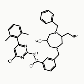 Cc1cccc(C)c1-c1cc(Cl)nc(N[S+]([O-])c2cccc(CN3CC(O)CN(Cc4ccccc4)C(CC(C)C)C3)c2)n1